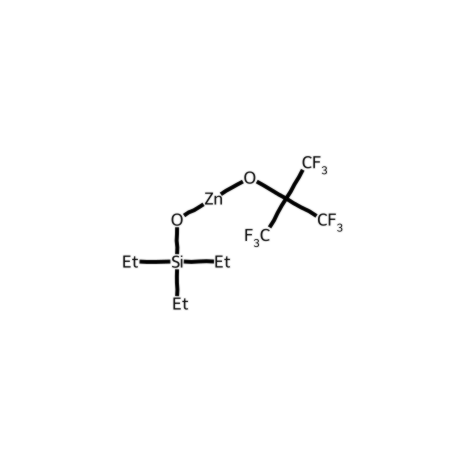 CC[Si](CC)(CC)[O][Zn][O]C(C(F)(F)F)(C(F)(F)F)C(F)(F)F